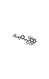 CN(C)CCOc1cccc(C=CC(=O)c2c(O)c3cccnc3n(C)c2=O)c1